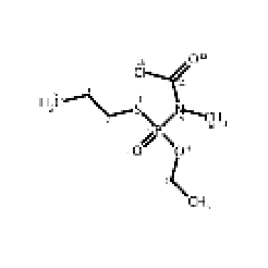 CCCSP(=O)(OCC)N(C)C(=O)Cl